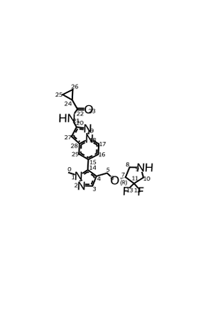 Cn1ncc(CO[C@@H]2CNCC2(F)F)c1-c1ccn2nc(NC(=O)C3CC3)cc2c1